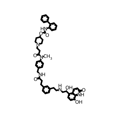 CN(C(=O)CCN1CCC(OC(=O)Nc2ccccc2-c2ccccc2)CC1)c1ccc(CNC(=O)CCc2cccc(CCNC[C@H](O)c3ccc(O)c4[nH]c(=O)ccc34)c2)cc1